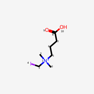 C[N+](C)(CI)CCCC(=O)O